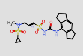 CN(C/C=C/S(=O)(=O)NC(=O)Nc1c2c(cc3c1CCC3)CCC2)S(=O)(=O)C1CC1